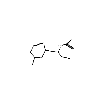 CCC(NC(=O)O)C1CC(O)CCO1